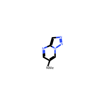 CNc1cnc2cnnn2c1